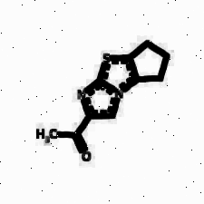 CC(=O)c1cn2c3c(sc2n1)CCC3